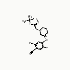 CC(C)(C)OC(=O)N[C@H]1CCC[C@@H](Nc2nc(Cl)c(C#N)cc2F)C1